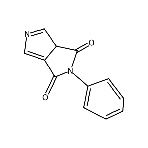 O=C1C2=CN=CC2C(=O)N1c1ccccc1